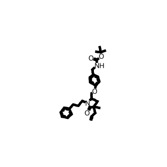 C=CCC1(C)CC(COc2ccc(CNC(=O)OC(C)(C)C)cc2)N(CCCc2ccccc2)C1=O